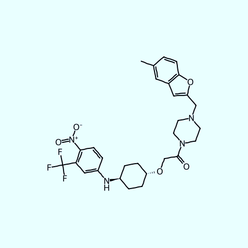 Cc1ccc2oc(CN3CCN(C(=O)CO[C@H]4CC[C@H](Nc5ccc([N+](=O)[O-])c(C(F)(F)F)c5)CC4)CC3)cc2c1